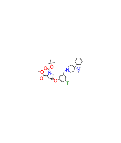 COC(=O)[C@@H]1C[C@H](Oc2cc(F)cc(CN3CCC(c4ccccc4)(N(C)C)CC3)c2)CN1C(=O)OC(C)(C)C